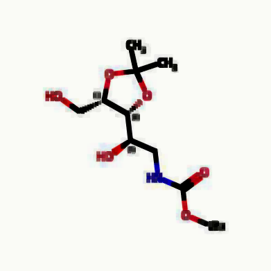 CC(C)(C)OC(=O)NC[C@@H](O)[C@H]1OC(C)(C)O[C@H]1CO